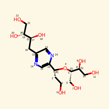 OCC[C@@H](O[C@@H](CO)[C@@H](O)CO)c1cnc(C[C@H](O)[C@H](O)CO)cn1